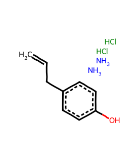 C=CCc1ccc(O)cc1.Cl.Cl.N.N